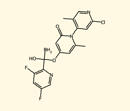 BC(O)(Oc1cc(C)n(-c2cc(Cl)ncc2C)c(=O)c1)c1ncc(F)cc1F